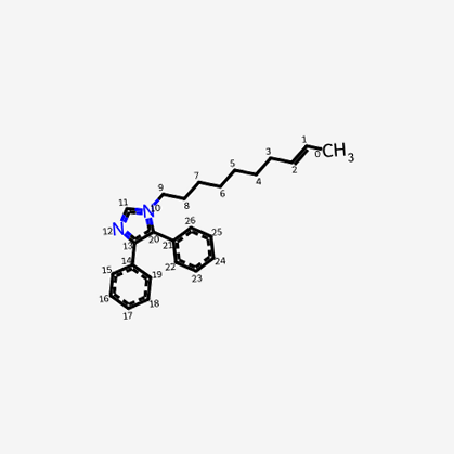 CC=CCCCCCCCn1cnc(-c2ccccc2)c1-c1ccccc1